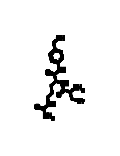 CC(C)C[C@H](N)C(=O)N[C@@H](CCCNC(N)=O)C(=O)Nc1ccc(CO)cc1